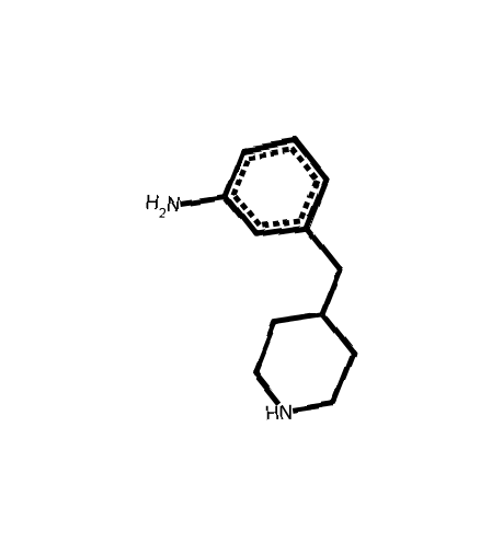 Nc1cccc(CC2CCNCC2)c1